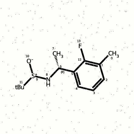 Cc1cccc([C@@H](C)N[S+]([O-])C(C)(C)C)c1F